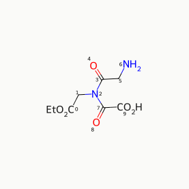 CCOC(=O)CN(C(=O)CN)C(=O)C(=O)O